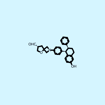 O=C[C@H]1COC2(C1)CN(c1ccc([C@@H]3c4ccc(O)cc4CC[C@@H]3c3ccccc3)cc1)C2